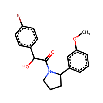 COc1cccc(C2CCCN2C(=O)C(O)c2ccc(Br)cc2)c1